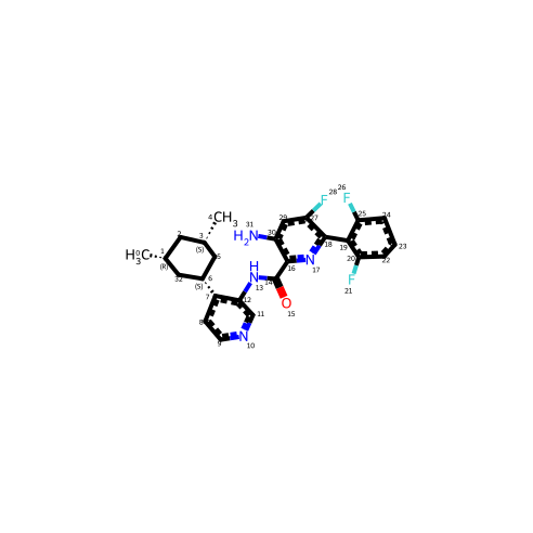 C[C@@H]1C[C@H](C)C[C@H](c2ccncc2NC(=O)c2nc(-c3c(F)cccc3F)c(F)cc2N)C1